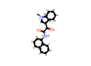 Cn1cc(C(=O)C(=O)Nc2cccc3ccccc23)c2ccccc21